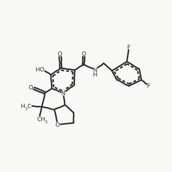 CC1(C)C(=O)c2c(O)c(=O)c(C(=O)NCc3ccc(F)cc3F)cn2C2CCOC21